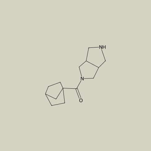 O=C(N1CC2CNCC2C1)C12CCC(CC1)C2